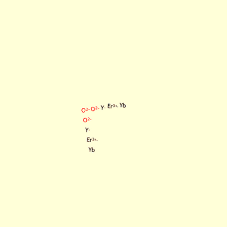 [Er+3].[Er+3].[O-2].[O-2].[O-2].[Y].[Y].[Yb].[Yb]